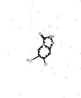 Cc1cn2c(=O)[nH]nc2cc1Cl